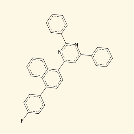 Fc1ccc(-c2ccc(-c3cc(-c4ccccc4)nc(-c4ccccc4)n3)c3ccccc23)cc1